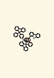 c1ccc(C2(c3ccc(N(c4cccc(-c5cccc6c5oc5ccccc56)c4)c4cccc5c4C(c4ccccc4)(c4ccccc4)c4ccccc4-5)cc3)c3ccccc3-c3ccccc32)cc1